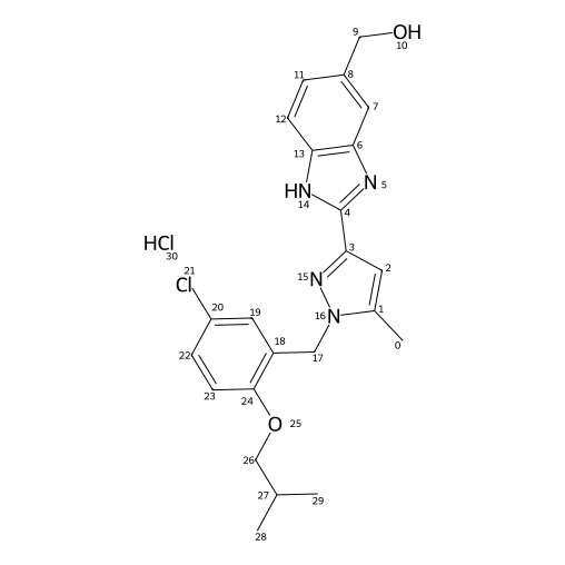 Cc1cc(-c2nc3cc(CO)ccc3[nH]2)nn1Cc1cc(Cl)ccc1OCC(C)C.Cl